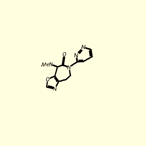 CNC1C(=O)N(c2cccnn2)CCc2ncoc21